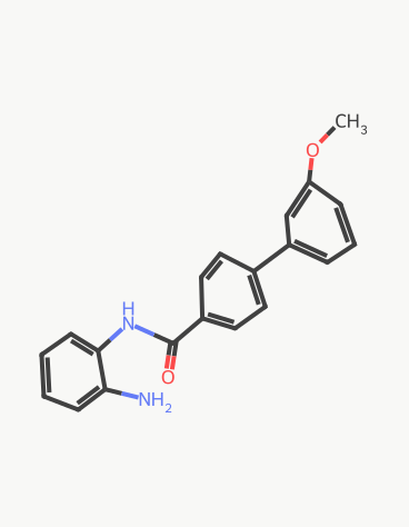 COc1cccc(-c2ccc(C(=O)Nc3ccccc3N)cc2)c1